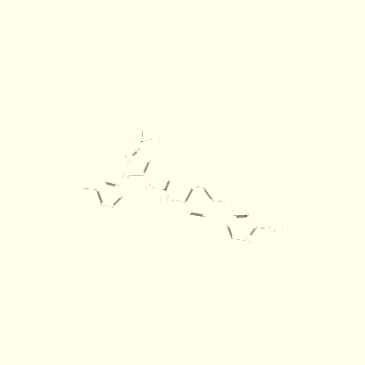 CC(C)(C)c1cc(NC(=O)Nc2ccc(Oc3ccnc(N)c3)cc2)n(-c2ccc(F)c(F)c2)n1